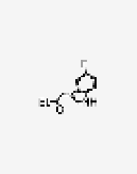 CCC(=O)Cc1c[nH]c2ccc(F)cc12